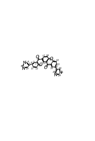 O=c1c2cc(-c3cncnc3)ccc2oc2c1ccc1oc3ccc(-c4cncnc4)cc3c(=O)c12